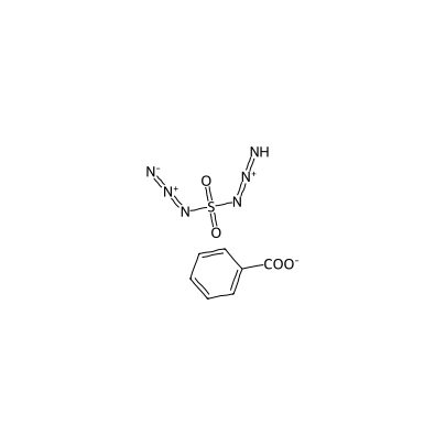 O=C([O-])c1ccccc1.[N-]=[N+]=NS(=O)(=O)N=[N+]=N